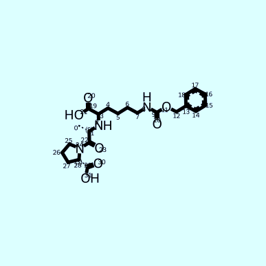 C[C@H](NC(CCCCNC(=O)OCc1ccccc1)C(=O)O)C(=O)N1CCC[C@H]1C(=O)O